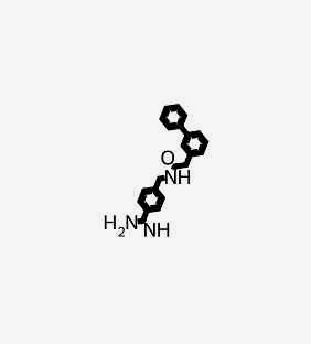 N=C(N)c1ccc(CNC(=O)Cc2cccc(-c3ccccc3)c2)cc1